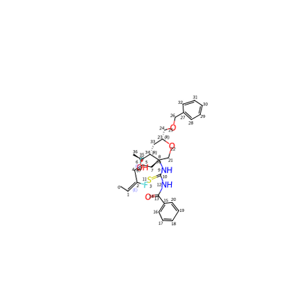 C/C=C(F)\C=C(\F)C[C@]1(NC(=S)NC(=O)c2ccccc2)CO[C@@H](COCc2ccccc2)C[C@H]1[C@H](C)O